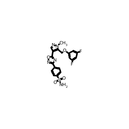 Cn1ncc(-c2nc(-c3ccc(S(N)(=O)=O)cc3)no2)c1COc1cc(F)cc(F)c1